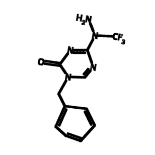 NN(c1ncn(Cc2ccccc2)c(=O)n1)C(F)(F)F